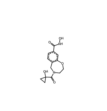 O=C(NO)c1ccc2c(c1)OCCN(C(=O)C1(O)CC1)C2